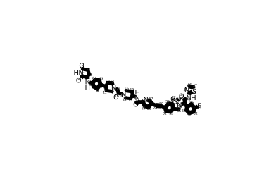 O=C1CCC(Nc2ccc(C3CCN(CC(=O)N4CCC(NC(=O)c5ccc(C#Cc6ccc7c(c6)S(=O)(=O)N(C(C(=O)Nc6nccs6)c6cccc(F)c6)C7)cn5)CC4)CC3)cc2)C(=O)N1